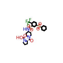 O=C([C@@H]1CCCN1C(=O)O)N1CCC(NS(=O)(=O)c2cc(S(=O)(=O)c3ccccc3)ccc2C(F)(F)F)CC1